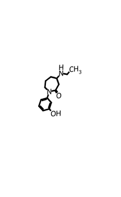 CCNC1CCCN(c2cccc(O)c2)C(=O)C1